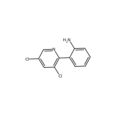 Nc1ccccc1-c1ncc(Cl)cc1Cl